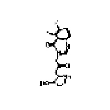 O=C(CC1NCCC1O)Cn1cnc2ccc(F)c(F)c2c1=O